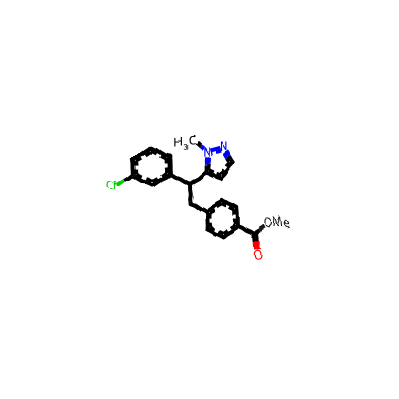 COC(=O)c1ccc(CC(c2cccc(Cl)c2)c2ccnn2C)cc1